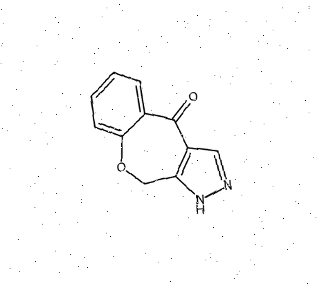 O=C1c2ccccc2OCc2[nH]ncc21